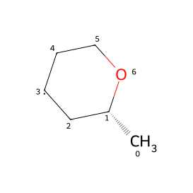 C[C@@H]1C[CH]CCO1